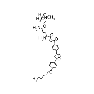 CCCCCOc1ccc(-c2cc(-c3ccc(C(=O)OC(=O)[C@@H](N)CCC(N)OCC[N+](C)(C)C)cc3)no2)cc1